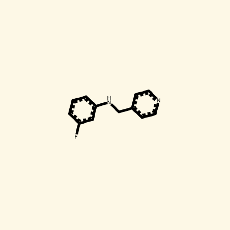 Fc1cccc(NCc2ccncc2)c1